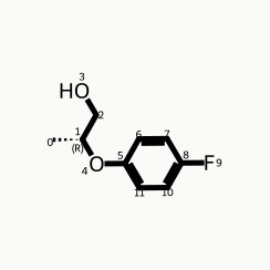 C[C@H](CO)Oc1ccc(F)cc1